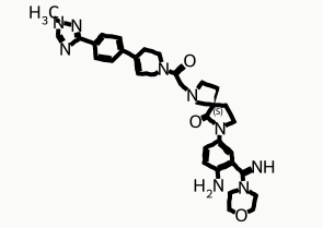 Cn1cnc(-c2ccc(C3=CCN(C(=O)CN4CC[C@]5(CCN(c6ccc(N)c(C(=N)N7CCOCC7)c6)C5=O)C4)CC3)cc2)n1